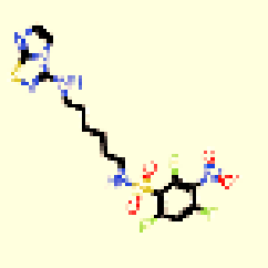 O=[N+]([O-])c1c(F)cc(F)c(S(=O)(=O)NCCCCCCNc2nsc3nccn23)c1F